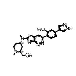 CN1CC[C@H](N(C)c2nc3nnc(-c4ccc(-c5cn[nH]c5)cc4O)cc3s2)C[C@H]1CO